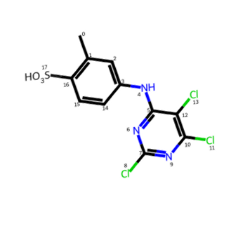 Cc1cc(Nc2nc(Cl)nc(Cl)c2Cl)ccc1S(=O)(=O)O